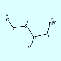 CCCCC(C)SC[O]